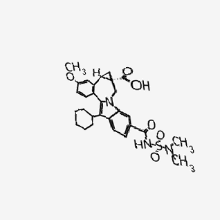 COc1ccc2c(c1)[C@H]1C[C@@]1(C(=O)O)Cn1c-2c(C2CCCCC2)c2ccc(C(=O)NS(=O)(=O)N(C)C)cc21